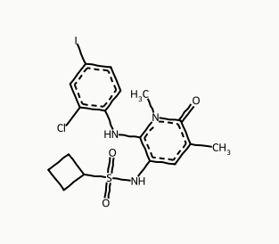 Cc1cc(NS(=O)(=O)C2CCC2)c(Nc2ccc(I)cc2Cl)n(C)c1=O